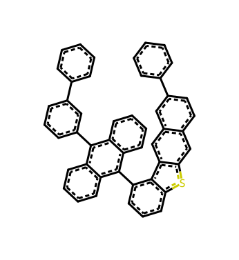 c1ccc(-c2cccc(-c3c4ccccc4c(-c4cccc5sc6cc7ccc(-c8ccccc8)cc7cc6c45)c4ccccc34)c2)cc1